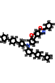 c1ccc(-c2ccc(-c3ccc(N(c4cccc(-c5ccc(-c6ccccc6)cc5)c4)c4ccc5c(c4)oc4cc6oc(-c7ccccc7)nc6cc45)cc3)cc2)cc1